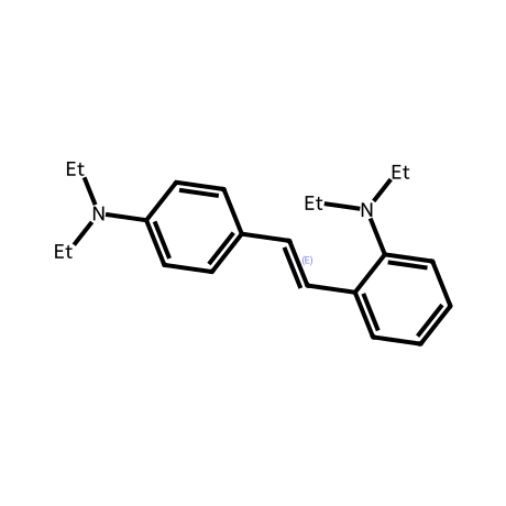 CCN(CC)c1ccc(/C=C/c2ccccc2N(CC)CC)cc1